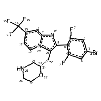 Fc1cc(Br)cc(F)c1-c1nc2cc(C(F)(F)F)ccn2c1C[C@H]1CNCCO1